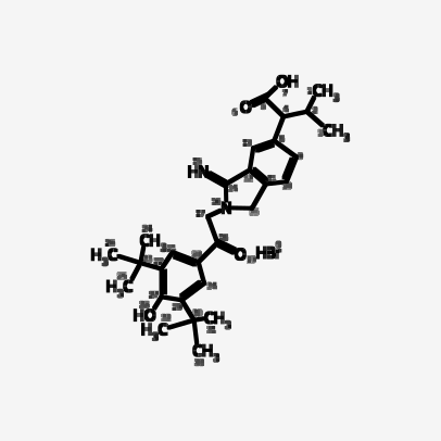 Br.CC(C)C(C(=O)O)c1ccc2c(c1)C(=N)N(CC(=O)c1cc(C(C)(C)C)c(O)c(C(C)(C)C)c1)C2